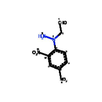 NN(CC=O)c1ccc([N+](=O)[O-])cc1[N+](=O)[O-]